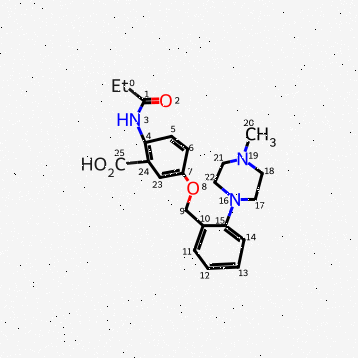 CCC(=O)Nc1ccc(OCc2ccccc2N2CCN(C)CC2)cc1C(=O)O